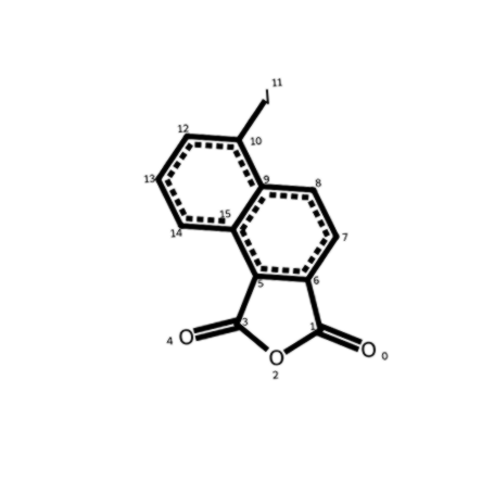 O=C1OC(=O)c2c1ccc1c(I)cccc21